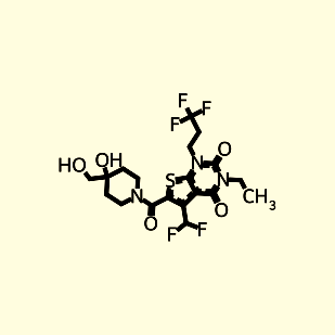 CCn1c(=O)c2c(C(F)F)c(C(=O)N3CCC(O)(CO)CC3)sc2n(CCC(F)(F)F)c1=O